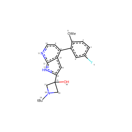 COc1ccc(F)cc1-c1ccnc2[nH]c(C3(O)CN(C(C)(C)C)C3)cc12